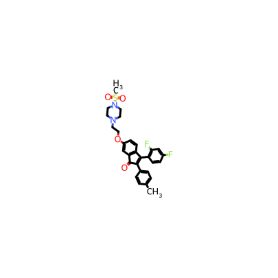 Cc1ccc(C2=C(c3ccc(F)cc3F)c3ccc(OCCN4CCN(S(C)(=O)=O)CC4)cc3C2=O)cc1